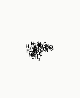 COc1ncc(F)cc1S(=O)(=O)N(C(=O)OC(C)(C)C)c1ccc(F)c(COc2cnc3c(c(C)nn3C3CCCCO3)c2C2CCN(C)CC2)c1F